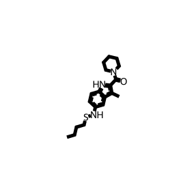 CCCCSNc1ccc2[nH]c(C(=O)N3CCCCC3)c(C)c2c1